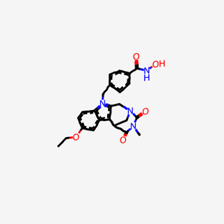 CCOc1ccc2c(c1)c1c(n2Cc2ccc(C(=O)NO)cc2)CN2CC1C(=O)N(C)C2=O